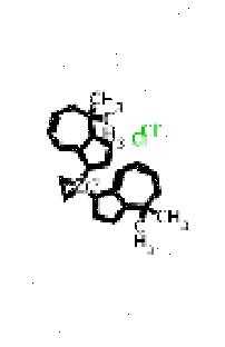 CC1(C)CC=CC=C2C1CC[CH]2[Zr+2]1([CH]2CCC3C2=CC=CCC3(C)C)[CH2][CH2]1.[Cl-].[Cl-]